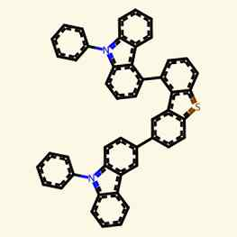 c1ccc(-n2c3ccccc3c3cc(-c4ccc5sc6cccc(-c7cccc8c7c7ccccc7n8-c7ccccc7)c6c5c4)ccc32)cc1